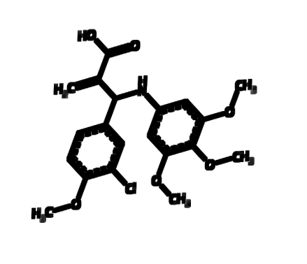 C=C(C(=O)O)C(Nc1cc(OC)c(OC)c(OC)c1)c1ccc(OC)c(Cl)c1